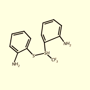 Nc1ccccc1S[SH](c1ccccc1N)C(F)(F)F